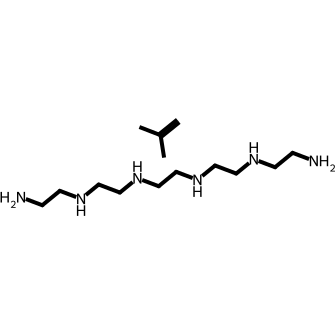 C=C(C)C.NCCNCCNCCNCCNCCN